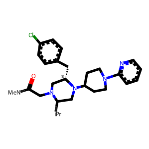 CNC(=O)CN1C[C@H](Cc2ccc(Cl)cc2)N(C2CCN(c3ccccn3)CC2)CC1C(C)C